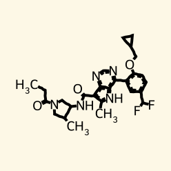 CCC(=O)N1CC(C)C(NC(=O)c2c(C)[nH]c3c(-c4cc(C(F)F)ccc4OCC4CC4)ncnc23)C1